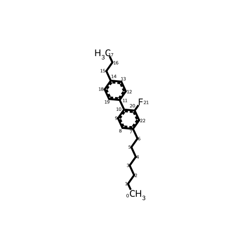 CCCCCCCc1ccc(-c2ccc(CCC)cc2)c(F)c1